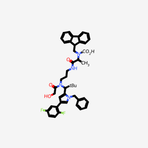 CC(C(=O)NCCCN(C(=O)CO)C(c1cc(-c2cc(F)ccc2F)cn1Cc1ccccc1)C(C)(C)C)N(CC1c2ccccc2-c2ccccc21)C(=O)O